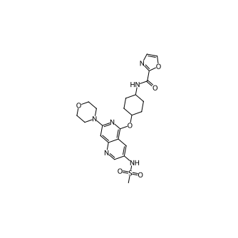 CS(=O)(=O)Nc1cnc2cc(N3CCOCC3)nc(OC3CCC(NC(=O)c4ncco4)CC3)c2c1